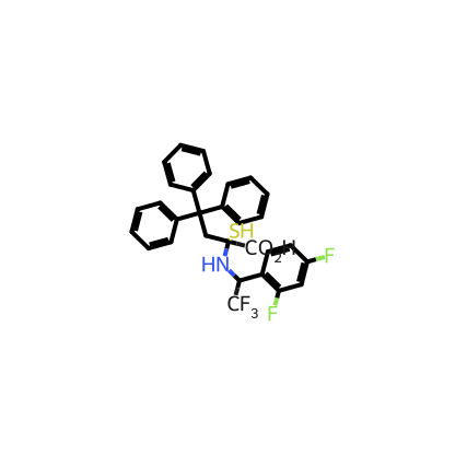 O=C(O)C(S)(CC(c1ccccc1)(c1ccccc1)c1ccccc1)NC(c1ccc(F)cc1F)C(F)(F)F